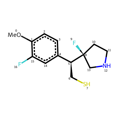 COc1ccc([C@H](CS)[C@]2(F)CCNC2)cc1F